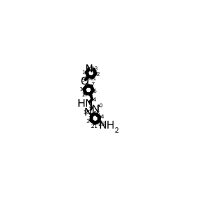 Cn1c(NCc2ccc(Oc3cccnc3)cc2)nc2ccc(N)cc21